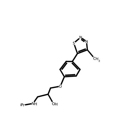 Cc1nnsc1-c1ccc(OCC(O)CNC(C)C)cc1